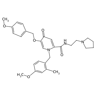 COc1ccc(COc2cn(Cc3ccc(OC)cc3C)c(C(=O)NCCN3CCCC3)cc2=O)cc1